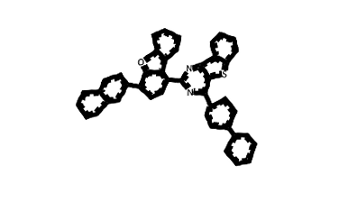 c1ccc(-c2ccc(-c3nc(-c4ccc(-c5ccc6ccccc6c5)c5oc6ccccc6c45)nc4c3sc3ccccc34)cc2)cc1